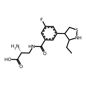 CCC1NSCC1c1cc(F)cc(C(=O)NC[C@@H](N)C(=O)O)c1